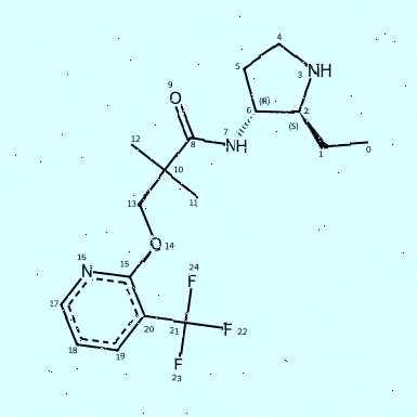 CC[C@@H]1NCC[C@H]1NC(=O)C(C)(C)COc1ncccc1C(F)(F)F